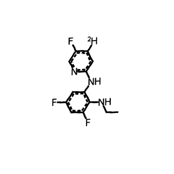 [2H]c1cc(Nc2cc(F)cc(F)c2NCC)ncc1F